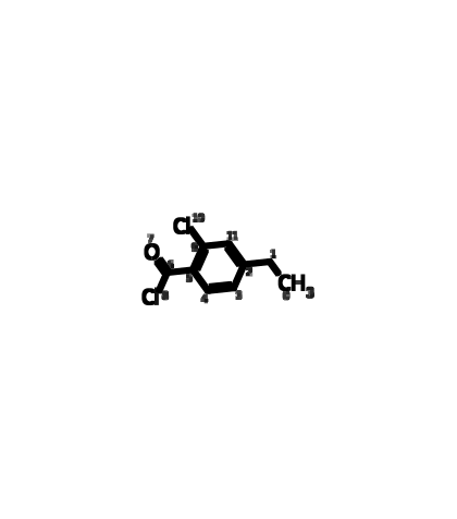 CCc1ccc(C(=O)Cl)c(Cl)c1